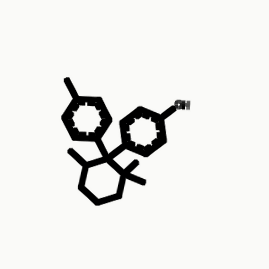 Cc1ccc(C2(c3ccc(O)cc3)C(C)CCCC2(C)C)cc1